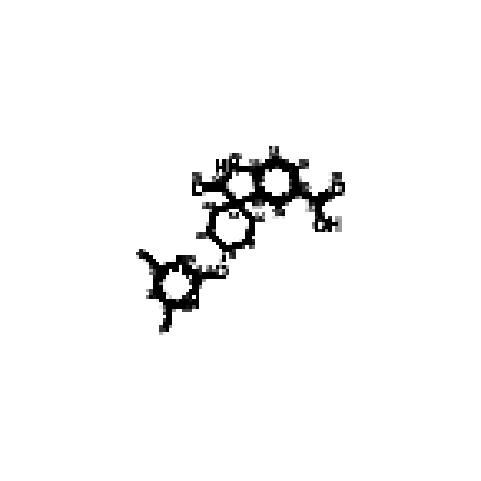 Cc1cc(C)nc(O[C@H]2CC[C@@]3(CC2)C(=O)Nc2ccc(C(=O)O)cc23)n1